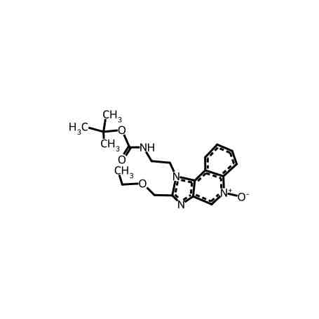 CCOCc1nc2c[n+]([O-])c3ccccc3c2n1CCNC(=O)OC(C)(C)C